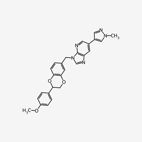 COc1ccc(C2COc3cc(Cn4cnc5cc(-c6cnn(C)c6)cnc54)ccc3O2)cc1